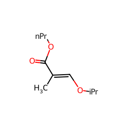 CCCOC(=O)C(C)=COC(C)C